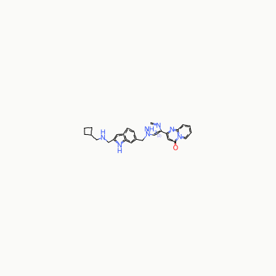 C=N/C(=C\N(N)Cc1ccc2cc(CNCC3CCC3)[nH]c2c1)c1cc(=O)n2ccccc2n1